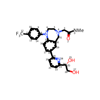 CNC(=O)CN1CCN(c2ccc(C(F)(F)F)cc2)c2ccc(-c3cccc([C@H](O)CO)n3)cc2C1